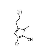 Cn1c(CCO)cc(Br)c1C#N